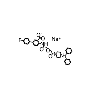 O=C(COCC(=O)N1CCN(C(c2ccccc2)c2ccccc2)CC1)Nc1ccc(-c2ccc(F)cc2)cc1C(=O)[O-].[Na+]